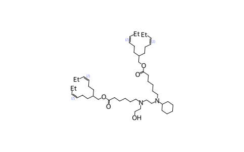 CC/C=C\CCC(CC/C=C\CC)COC(=O)CCCCCN(CCO)CCN(CCCCCC(=O)OCC(CC/C=C\CC)CC/C=C\CC)C1CCCCC1